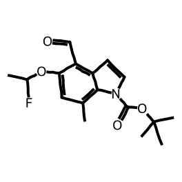 Cc1cc(OC(C)F)c(C=O)c2ccn(C(=O)OC(C)(C)C)c12